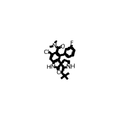 CN(C)C(=O)c1c(Cl)cc2c(c1-c1cccc(F)c1)C1(CCNC1CC(C)(C)C)C(=O)N2